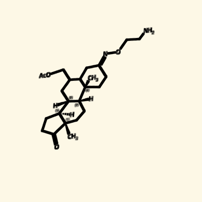 CC(=O)OCC1C[C@@H]2[C@@H](CC[C@]3(C)C(=O)CC[C@@H]23)[C@@]2(C)CCC(=NOCCN)CC12